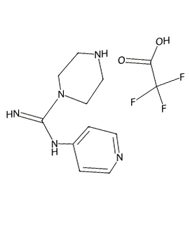 N=C(Nc1ccncc1)N1CCNCC1.O=C(O)C(F)(F)F